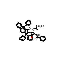 CCOC(=O)[C@@H](C)O[C@@H]1[C@@H](NC(=O)c2ccccc2)C(=O)N1C(C(=O)OC(c1ccccc1)c1ccccc1)=P(c1ccccc1)(c1ccccc1)c1ccccc1